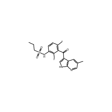 CCCS(=O)(=O)Nc1ccc(F)c(C(=O)c2c[nH]c3ncc(C)cc23)c1F